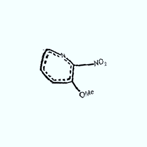 COc1cc[c]nc1[N+](=O)[O-]